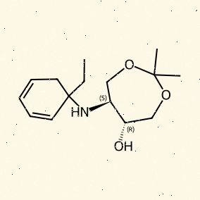 CCC1(N[C@H]2COC(C)(C)OC[C@@H]2O)C=CC=CC1